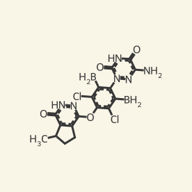 Bc1c(Cl)c(Oc2n[nH]c(=O)c3c2CCC3C)c(Cl)c(B)c1-n1nc(N)c(=O)[nH]c1=O